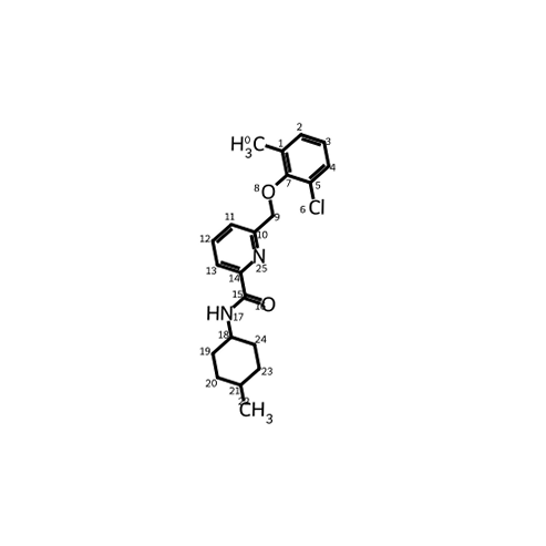 Cc1cccc(Cl)c1OCc1cccc(C(=O)NC2CCC(C)CC2)n1